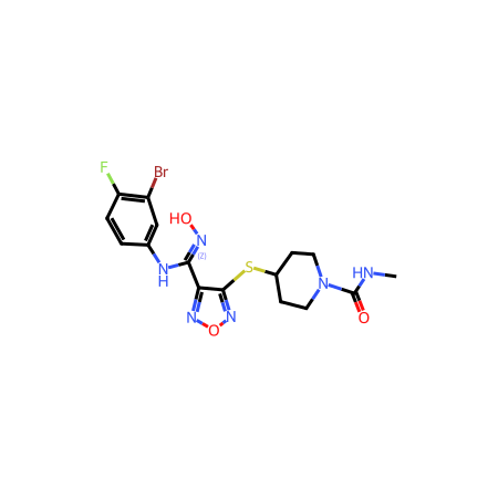 CNC(=O)N1CCC(Sc2nonc2/C(=N/O)Nc2ccc(F)c(Br)c2)CC1